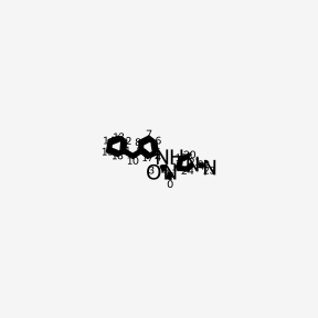 CN(C(=O)Nc1cccc(Cc2ccccc2)c1)C1CCN(C#N)C1